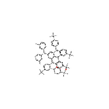 Cc1cccc(N(c2cccc(C)c2)c2cc3c4c(c2)N(c2ccc(C(C)(C)C)cc2-c2ccc(C(C)(C)C)cc2)c2ccc(C(C)(C)C)cc2B4c2cc(C(C)(C)C)ccc2N3c2ccc(C(C)(C)C)cc2)c1